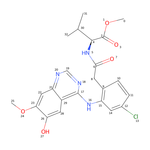 COC(=O)[C@@H](NC(=O)Cc1ccc(Cl)cc1Nc1ncnc2cc(OC)c(O)cc12)C(C)C